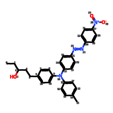 CCC(O)CCc1ccc(N(c2ccc(C)cc2)c2ccc(N=Nc3ccc([N+](=O)[O-])cc3)cc2)cc1